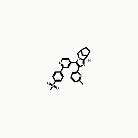 Cc1cccc(-c2nc3n(c2-c2ccnc(-c4ccc(S(C)(=O)=O)cc4)c2)CC2CC[C@@H]3C2)n1